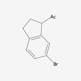 CC(=O)C1CCc2ccc(Br)cc21